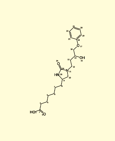 O=C(O)CCCCCCC1CN(CCC(O)COc2ccccc2)C(=O)N1